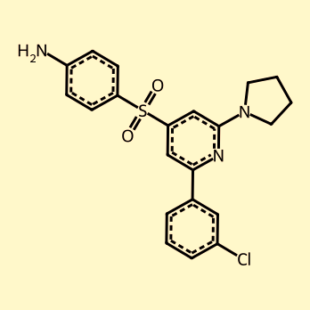 Nc1ccc(S(=O)(=O)c2cc(-c3cccc(Cl)c3)nc(N3CCCC3)c2)cc1